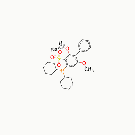 COc1cc(P(C2CCCCC2)C2CCCCC2)c(S(=O)(=O)[O-])c(OC)c1-c1ccccc1.[Na+]